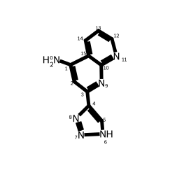 Nc1cc(-c2c[nH]nn2)nc2ncccc12